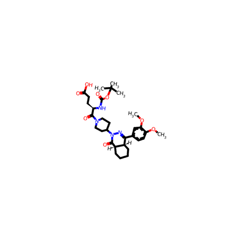 COc1ccc(C2=NN(C3CCN(C(=O)[C@@H](CCC(=O)O)NC(=O)OC(C)(C)C)CC3)C(=O)[C@@H]3CCCC[C@H]23)cc1OC